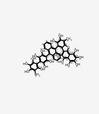 Bc1c(O)c(O)c(O)c(-c2c(O)c(O)c(-c3c4ccccc4c(-c4c(O)c(O)c(C)c5oc6c7c(O)c(O)c(O)c(O)c7c(O)c(O)c6c45)c4ccccc34)c(O)c2O)c1O